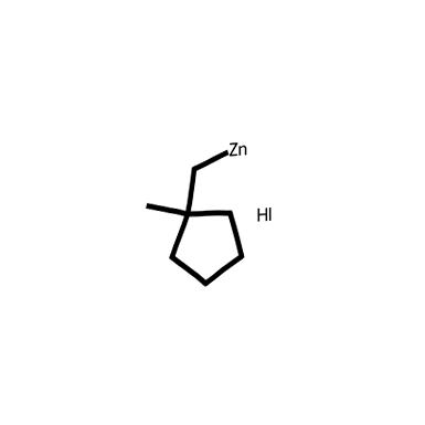 CC1([CH2][Zn])CCCC1.I